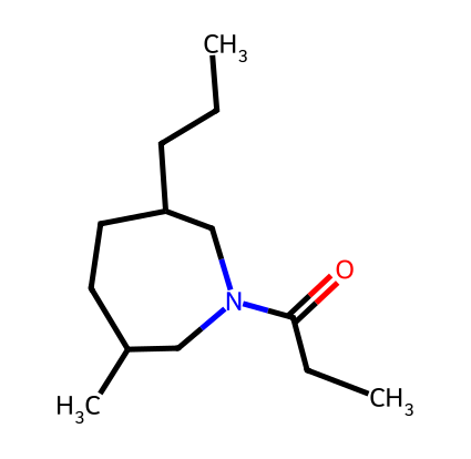 CCCC1CCC(C)CN(C(=O)CC)C1